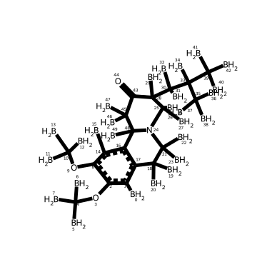 Bc1c(OC(B)(B)B)c(OC(B)(B)B)c(B)c2c1C(B)(B)C(B)(B)N1C(B)(B)C(B)(C(B)(B)C(B)(C(B)(B)B)C(B)(B)B)C(=O)C(B)(B)C21B